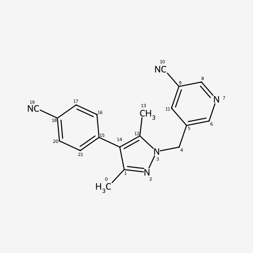 Cc1nn(Cc2cncc(C#N)c2)c(C)c1-c1ccc(C#N)cc1